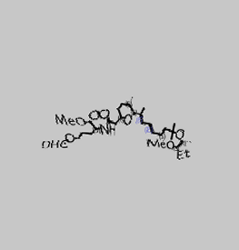 CC[C@H](OC)[C@@H](C)OC(C)(C)C[C@H](C)/C=C/C=C(\C)[C@H]1O[C@@H](CC(=O)N[C@@H](CCCOC=O)C(=O)OC)CC[C@@H]1C